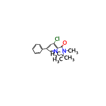 CN(C(=O)c1ncc(-c2ccccc2)cc1Cl)C(C)(C)C